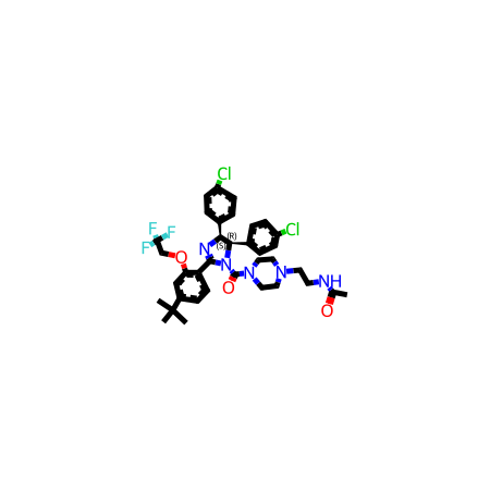 CC(=O)NCCN1CCN(C(=O)N2C(c3ccc(C(C)(C)C)cc3OCC(F)(F)F)=N[C@@H](c3ccc(Cl)cc3)[C@H]2c2ccc(Cl)cc2)CC1